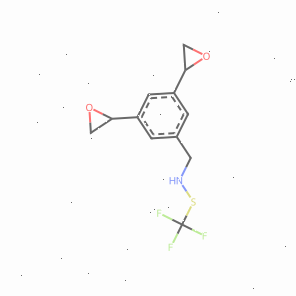 FC(F)(F)SNCc1cc(C2CO2)cc(C2CO2)c1